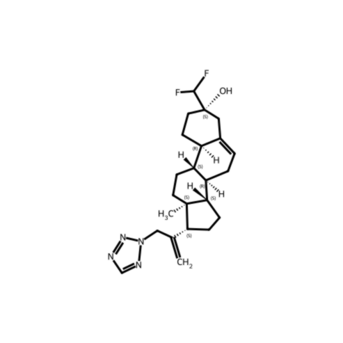 C=C(Cn1ncnn1)[C@H]1CC[C@H]2[C@@H]3CC=C4C[C@](O)(C(F)F)CC[C@@H]4[C@H]3CC[C@]12C